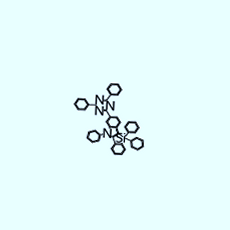 c1ccc(-c2nc(-c3ccccc3)nc(-c3ccc4c5c(n(-c6ccccc6)c4c3)-c3ccccc3[Si]5(c3ccccc3)c3ccccc3)n2)cc1